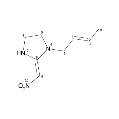 CC=CCN1CCNC1=C[N+](=O)[O-]